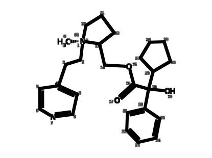 C[N@+]1(CCc2ccncc2)CCCC1COC(=O)C(O)(c1ccccc1)C1CCCC1